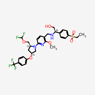 CCS(=O)(=O)c1ccc([C@H](CO)NCc2ccc(N3C[C@@H](Oc4ccc(C(F)(F)F)cc4)C[C@H]3COC(F)F)nc2OC)cc1